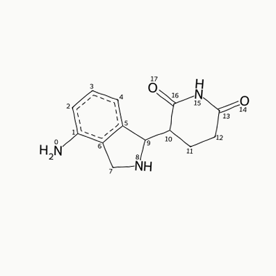 Nc1cccc2c1CNC2C1CCC(=O)NC1=O